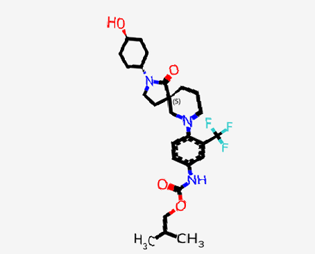 CC(C)COC(=O)Nc1ccc(N2CCC[C@]3(CCN([C@H]4CC[C@H](O)CC4)C3=O)C2)c(C(F)(F)F)c1